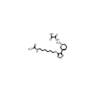 CC(=O)NCCCCCCOc1nsnc1C1=CCCN(C)C1.O=C(O)C(=O)O